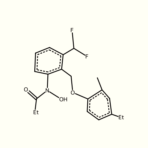 CCC(=O)N(O)c1cccc(C(F)F)c1COc1ccc(CC)cc1C